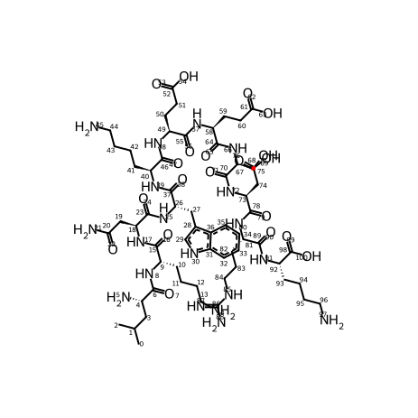 CC(C)C[C@H](N)C(=O)N[C@@H](CCCCN)C(=O)N[C@@H](CC(N)=O)C(=O)N[C@@H](Cc1c[nH]c2ccccc12)C(=O)N[C@@H](CCCCN)C(=O)N[C@@H](CCC(=O)O)C(=O)N[C@@H](CCC(=O)O)C(=O)N[C@@H](CO)C(=O)N[C@@H](CC(=O)O)C(=O)N[C@@H](CCCNC(=N)N)C(=O)N[C@@H](CCCCN)C(=O)O